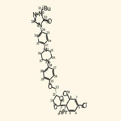 CCC[C@]1(C2C=CC(Cl)=CC2Cl)OC[C@H](COc2ccc(N3CCN(c4ccc(-n5cnn(C(C)CC)c5=O)cc4)CC3)cc2)O1